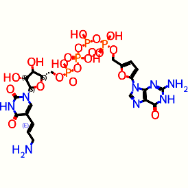 NC/C=C/c1cn([C@H]2O[C@@H](COP(=O)(O)OP(=O)(O)OP(=O)(O)OP(=O)(O)OCc3ccc(-n4cnc5c(=O)[nH]c(N)nc54)o3)C(O)[C@H]2O)c(=O)[nH]c1=O